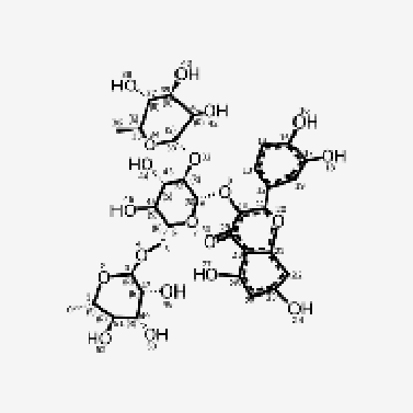 C[C@@H]1O[C@@H](OC[C@H]2O[C@@H](Oc3c(-c4ccc(O)c(O)c4)oc4cc(O)cc(O)c4c3=O)[C@H](O[C@@H]3O[C@@H](C)[C@H](O)[C@@H](O)[C@H]3O)[C@@H](O)[C@@H]2O)[C@H](O)[C@H](O)[C@H]1O